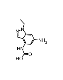 CCn1ncc2c(NC(=O)O)cc(N)cc21